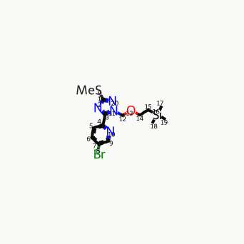 CSc1nc(-c2ccc(Br)cn2)n(COCC[Si](C)(C)C)n1